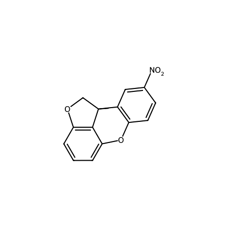 CC12COc3cccc(c31)Oc1ccc([N+](=O)[O-])cc12